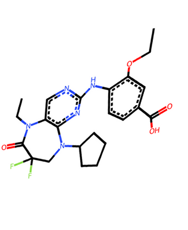 CCOc1cc(C(=O)O)ccc1Nc1ncc2c(n1)N(C1CCCC1)CC(F)(F)C(=O)N2CC